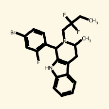 CCC(F)(F)CN1C(C)Cc2c([nH]c3ccccc23)C1c1ccc(Br)cc1F